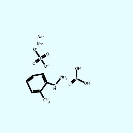 Cc1ccccc1NN.O=S(=O)([O-])[O-].O=S(O)O.[Na+].[Na+]